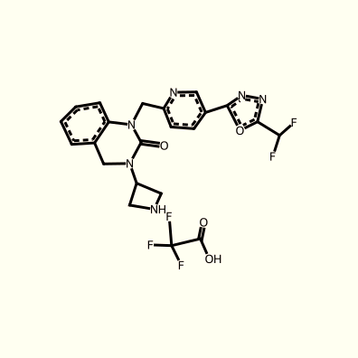 O=C(O)C(F)(F)F.O=C1N(Cc2ccc(-c3nnc(C(F)F)o3)cn2)c2ccccc2CN1C1CNC1